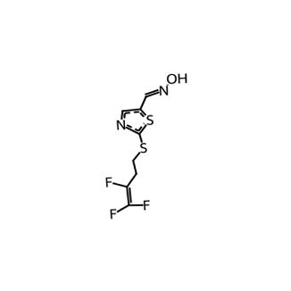 ON=Cc1cnc(SCCC(F)=C(F)F)s1